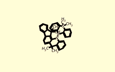 CC1(C)c2ccccc2N(B2c3ccccc3S(C)(C)c3ccccc32)c2c1ccc1c2C(C)(C)c2ccccc2-1